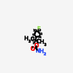 CC(C)(COC(N)=O)c1ccc(F)cc1